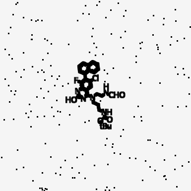 CC(C)(C)OC(=O)NCCCN(CCNC=O)c1nc(O)nc2c(F)c(-c3cccc4ccccc34)c(Cl)cc12